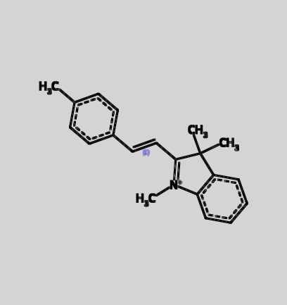 Cc1ccc(/C=C/C2=[N+](C)c3ccccc3C2(C)C)cc1